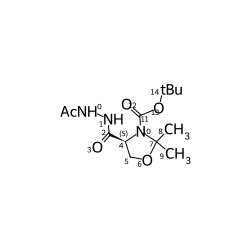 CC(=O)NNC(=O)[C@@H]1COC(C)(C)N1C(=O)OC(C)(C)C